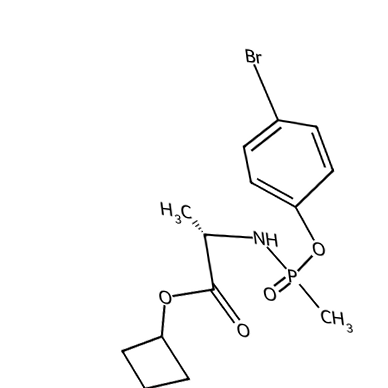 C[C@H](NP(C)(=O)Oc1ccc(Br)cc1)C(=O)OC1CCC1